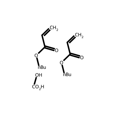 C=CC(=O)OCCCC.C=CC(=O)OCCCC.O=C(O)O